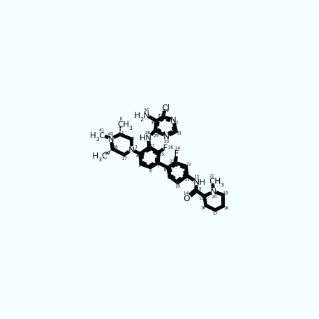 C[C@@H]1CN(c2ccc(-c3ccc(NC(=O)C4CCCCN4C)cc3F)c(F)c2Nc2ncnc(Cl)c2N)C[C@H](C)N1C